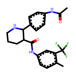 CC(=O)Nc1ccc(C2NCCCC2C(=O)Nc2ccc(C)c(C(F)(F)F)c2)cc1